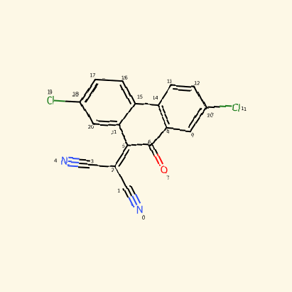 N#CC(C#N)=C1C(=O)c2cc(Cl)ccc2-c2ccc(Cl)cc21